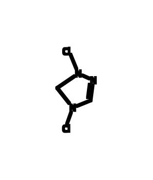 ClN1C=NN(Cl)C1